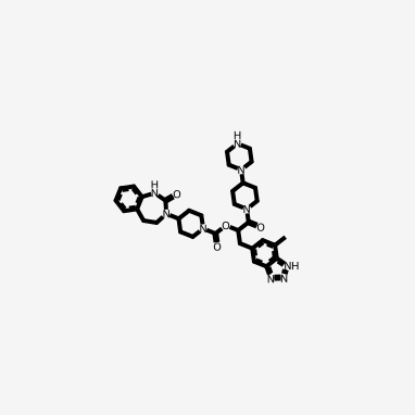 Cc1cc(CC(OC(=O)N2CCC(N3CCc4ccccc4NC3=O)CC2)C(=O)N2CCC(N3CCNCC3)CC2)cc2nn[nH]c12